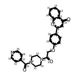 O=C(COc1ccc(-c2cc(=O)c3ccccc3o2)cc1)N1CCN(C(=O)c2ccncc2)CC1